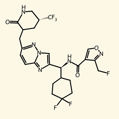 O=C(N[C@H](c1cn2nc(CC3C[C@@H](C(F)(F)F)CNC3=O)ccc2n1)C1CCC(F)(F)CC1)c1conc1CF